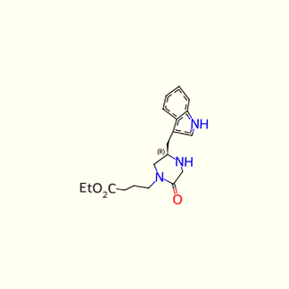 CCOC(=O)CCCN1C[C@@H](Cc2c[nH]c3ccccc23)NCC1=O